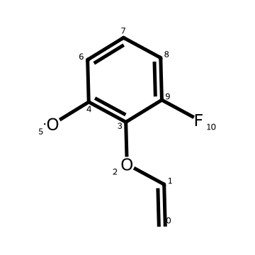 C=COc1c([O])cccc1F